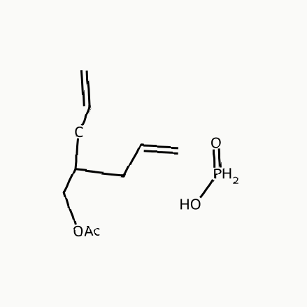 C=CCC(CC=C)COC(C)=O.O=[PH2]O